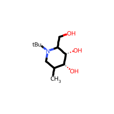 CC1CN(C(C)(C)C)C(CO)[C@H](O)[C@@H]1O